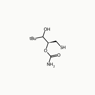 CC(C)(C)C(O)[C@@H](CS)OC(N)=O